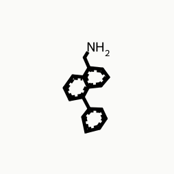 NCc1cccc2c(-c3ccccc3)cccc12